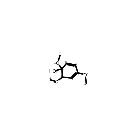 COC1=CC(OC)C(O)(OC)C=C1